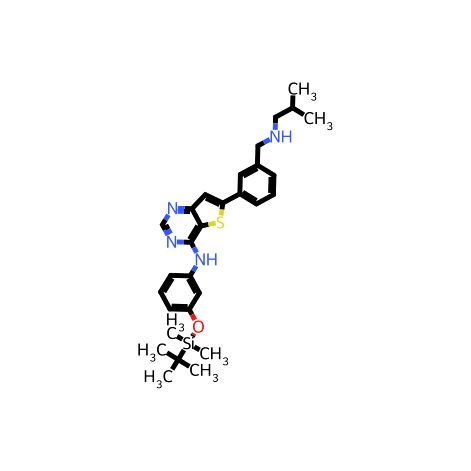 CC(C)CNCc1cccc(-c2cc3ncnc(Nc4cccc(O[Si](C)(C)C(C)(C)C)c4)c3s2)c1